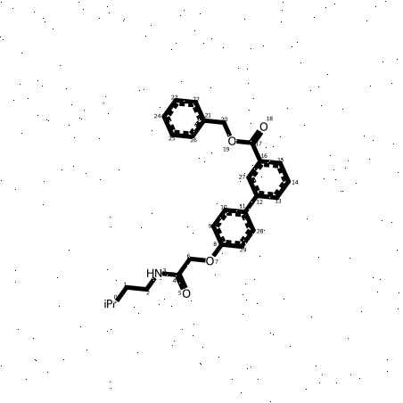 CC(C)CCNC(=O)COc1ccc(-c2cccc(C(=O)OCc3ccccc3)c2)cc1